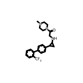 CN1CCN(C(=O)CNC2CC2c2ccc(-c3ccccc3C(F)(F)F)cc2)CC1